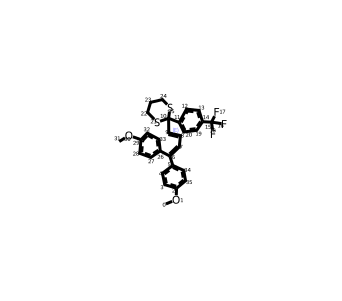 COc1ccc(C(=C/C=C/C2(c3ccc(C(F)(F)F)cc3)SCCCS2)c2ccc(OC)cc2)cc1